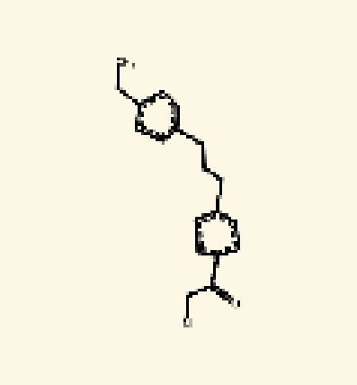 CCc1ccc(CCCc2ccc(C(=O)CCl)cc2)cc1